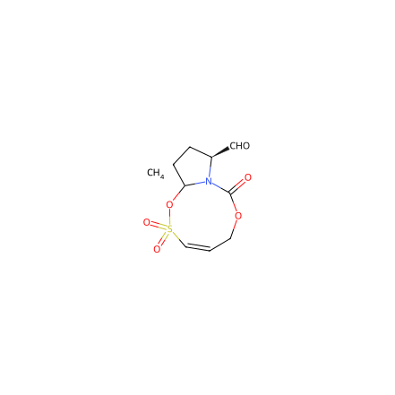 C.O=C[C@@H]1CCC2OS(=O)(=O)C=CCOC(=O)N21